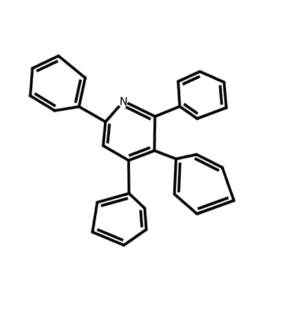 c1ccc(-c2cc(-c3ccccc3)c(-c3ccccc3)c(-c3ccccc3)n2)cc1